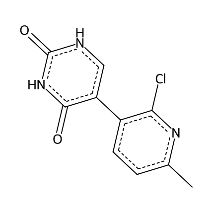 Cc1ccc(-c2c[nH]c(=O)[nH]c2=O)c(Cl)n1